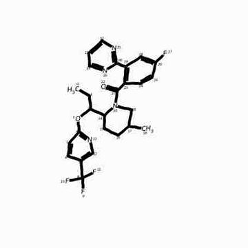 CCC(Oc1ccc(C(F)(F)F)cn1)C1CCC(C)CN1C(=O)c1ccc(F)cc1-c1ncccn1